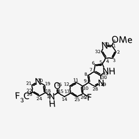 COc1ccc(-c2cc3cc(-c4ccc(CC(=O)Nc5cncc(C(F)(F)F)c5)cc4F)cnc3[nH]2)cn1